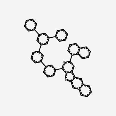 c1ccc(-c2cc(-c3ccccc3)cc(-c3cccc(-c4cccc(-c5nc(-c6cccc7ccccc67)nc6c5sc5cc7ccccc7cc56)c4)c3)c2)cc1